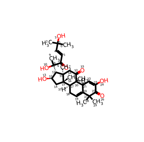 CC(C)(O)/C=C/C(=O)C(C)(O)[C@H]1[C@H](O)C[C@@]2(C)[C@@H]3CC=C4[C@@H](C=C(O)C(=O)C4(C)C)[C@]3(C)C(=O)C[C@]12C